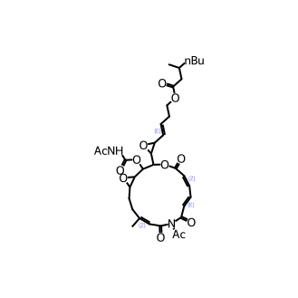 CCCCC(C)CC(=O)OCC/C=C/C1OC1C1OC(=O)/C=C\C=C\C(=O)N(C(C)=O)C(=O)/C=C(/C)CCC2OC2C1OC(=O)NC(C)=O